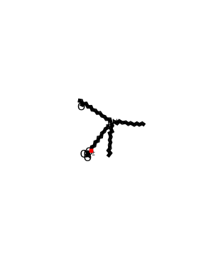 C=CC(=O)CCCCCCCCCCC[N+](CCCCCCCCCCCC)(CCCCCCCCCCCC)CCCCCCCCCCCC.O=[N+]([O-])[O-]